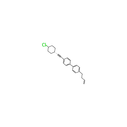 C=CCCc1ccc(-c2ccc(C#C[C@H]3CC[C@H](Cl)CC3)cc2)cc1